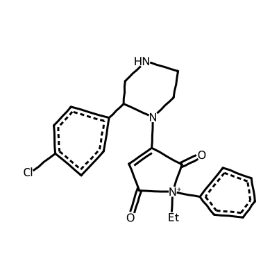 CC[N+]1(c2ccccc2)C(=O)C=C(N2CCNCC2c2ccc(Cl)cc2)C1=O